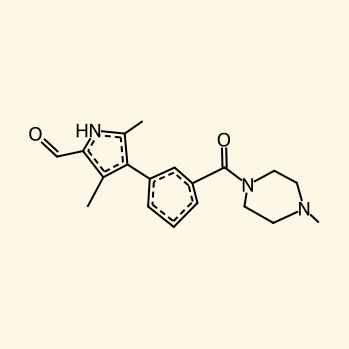 Cc1[nH]c(C=O)c(C)c1-c1cccc(C(=O)N2CCN(C)CC2)c1